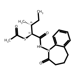 CC[C@@H](C)[C@H](SC(C)=O)C(=O)NN1C(=O)CCCc2ccccc21